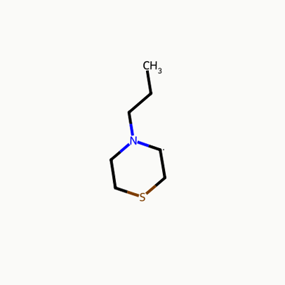 CCCN1[CH]CSCC1